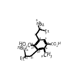 CCCCC(CC)Cc1cc(C(=O)O)c(C)c(CC(CC)CCCC)c1C(=O)O